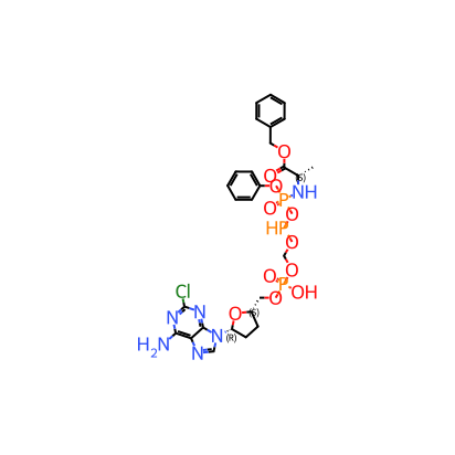 C[C@H](NP(=O)(OPOCOP(=O)(O)OC[C@@H]1CC[C@H](n2cnc3c(N)nc(Cl)nc32)O1)Oc1ccccc1)C(=O)OCc1ccccc1